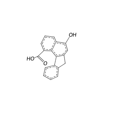 O=C(O)c1cccc2c(O)cc3c(c12)-c1ccccc1C3